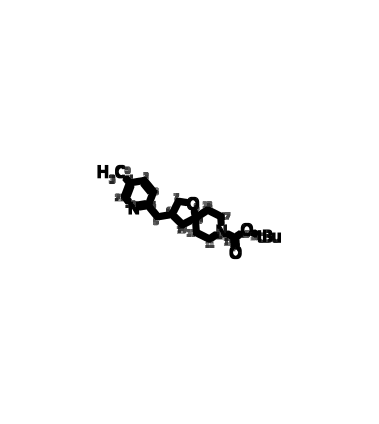 Cc1ccc(CC2COC3(CCN(C(=O)OC(C)(C)C)CC3)C2)nc1